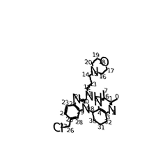 Cc1nc2c(nc1C)C(n1c(NCCCN3CCOCC3)nc3ccc(CCl)cc31)CCC2